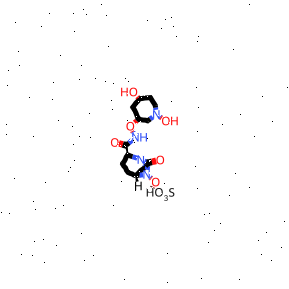 O=C(NOC1CC(O)CCN(O)C1)[C@@H]1CC[C@@H]2CN1C(=O)N2OS(=O)(=O)O